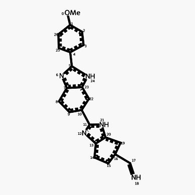 COc1ccc(-c2nc3ccc(-c4nc5ccc(C=N)cc5[nH]4)cc3[nH]2)cc1